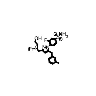 Cc1cccc(Cc2cc(CN(CCO)C(C)C)nn2-c2ccc(S(N)(=O)=O)cc2F)c1